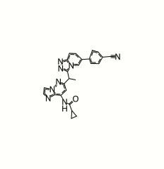 CC(c1cc(NC(=O)C2CC2)c2nccn2n1)c1nnc2ccc(-c3ccc(C#N)cc3)cn12